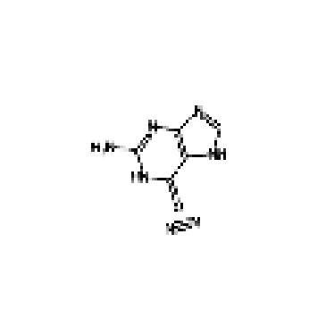 N#N.Nc1nc2nc[nH]c2c(=O)[nH]1